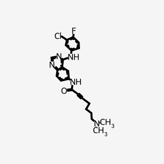 CN(C)CCCCC#CC(=O)Nc1ccc2ncnc(Nc3ccc(F)c(Cl)c3)c2c1